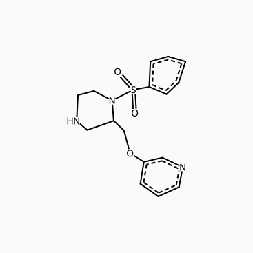 O=S(=O)(c1ccccc1)N1CCNCC1COc1cccnc1